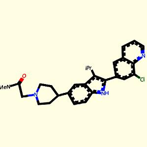 CNC(=O)CN1CCC(c2ccc3[nH]c(-c4cc(Cl)c5ncccc5c4)c(C(C)C)c3c2)CC1